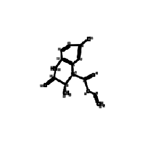 C=COC(=O)N1c2cc(Cl)ccc2NC(=O)[C@@H]1C